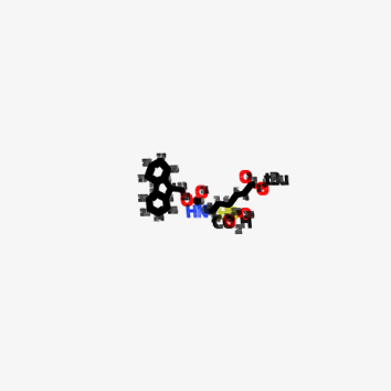 CC(C)(C)OC(=O)CCC(C[C@@H](NC(=O)OCC1c2ccccc2-c2ccccc21)C(=O)O)[SH](=O)=O